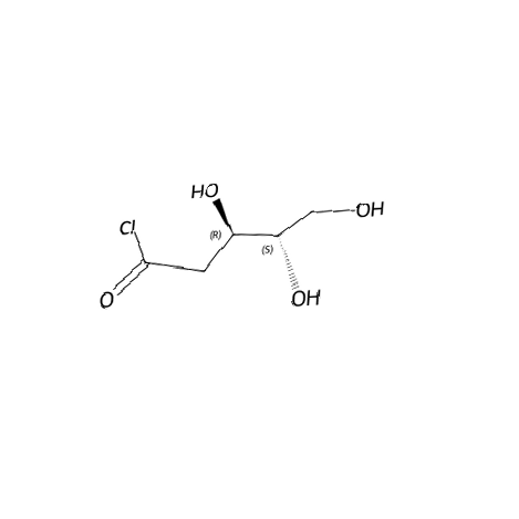 O=C(Cl)C[C@@H](O)[C@@H](O)CO